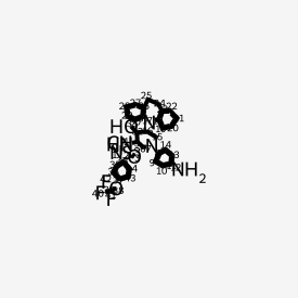 CN=S(=O)(NC1CN(c2ccc(N)cc2)CC(N2c3ccccc3CCc3ccccc32)C1O)c1ccc(OC(F)(F)F)cc1